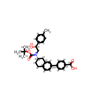 Cc1ccc([C@H](O)CN(C(=O)OC(C)(C)C)[C@H]2CCc3ccc(-c4ccc(C(=O)O)cc4)cc3C2)cc1